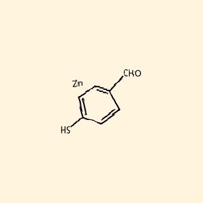 O=Cc1ccc(S)cc1.[Zn]